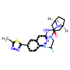 Cc1nnc(-c2ccc3nnc(NC(=O)N4[C@@H]5CC[C@H]4CC(NCC(F)F)C5)cc3c2)s1